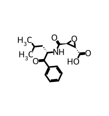 CC(C)C[C@H](NC(=O)[C@H]1O[C@@H]1C(=O)O)C(=O)c1ccccc1